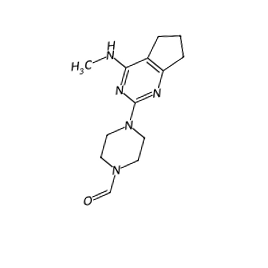 CNc1nc(N2CCN(C=O)CC2)nc2c1CCC2